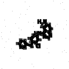 Nc1ccc2ncnc(Nc3ccc(Cc4cccnc4)c(Cl)c3)c2c1